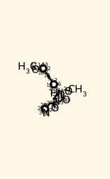 COC[C@H]1[C@@H](c2ccc(C#Cc3cccc(OC)c3)cc2)[C@@H]2CN(C(=O)Cc3cccnc3)CC(=O)N12